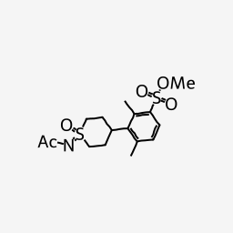 COS(=O)(=O)c1ccc(C)c(C2CCS(=O)(=NC(C)=O)CC2)c1C